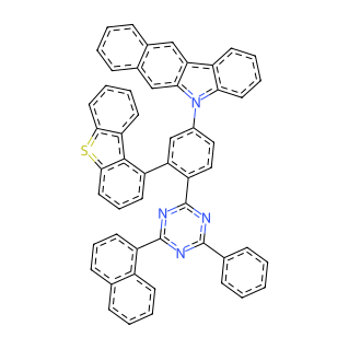 c1ccc(-c2nc(-c3ccc(-n4c5ccccc5c5cc6ccccc6cc54)cc3-c3cccc4sc5ccccc5c34)nc(-c3cccc4ccccc34)n2)cc1